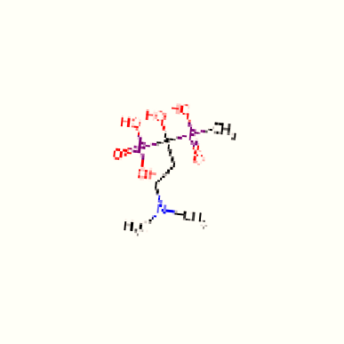 CN(C)CCC(O)(P(C)(=O)O)P(=O)(O)O